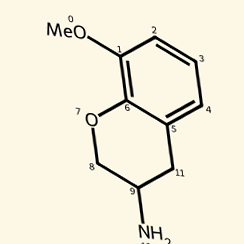 COc1cccc2c1OCC(N)C2